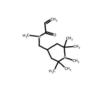 C=CC(=O)N(C)CC1CC(C)(C)N(C)C(C)(C)C1